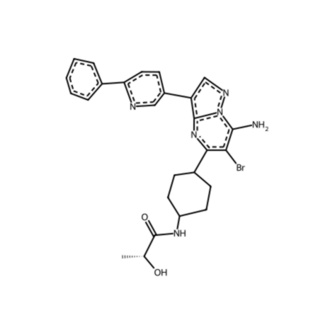 C[C@@H](O)C(=O)NC1CCC(c2nc3c(-c4ccc(-c5ccccc5)nc4)cnn3c(N)c2Br)CC1